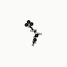 N#Cc1nc2ccc(Oc3ccc(O)c(OCC(=O)NCCCCCC[PH](c4ccccc4)(c4ccccc4)c4ccccc4)c3)cc2s1